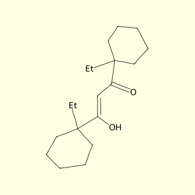 CCC1(C(=O)/C=C(\O)C2(CC)CCCCC2)CCCCC1